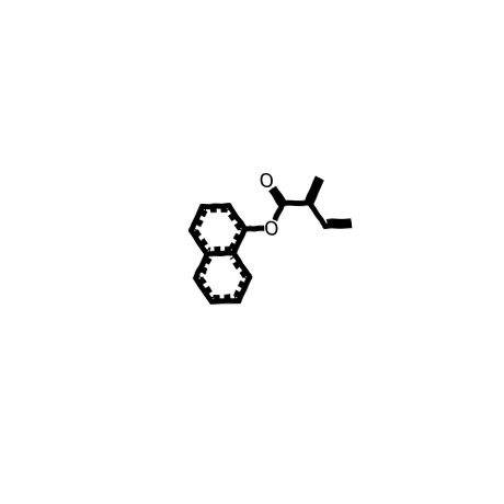 C=CC(=C)C(=O)Oc1cccc2ccccc12